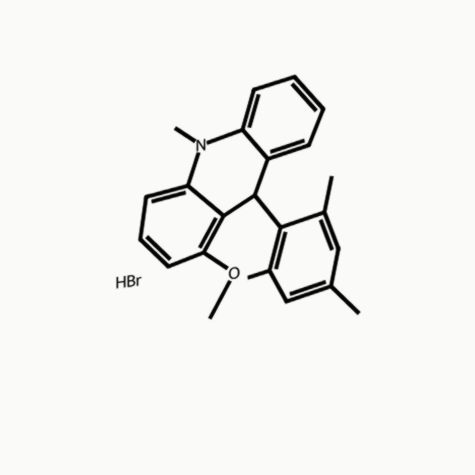 Br.COc1cccc2c1C(c1c(C)cc(C)cc1C)c1ccccc1N2C